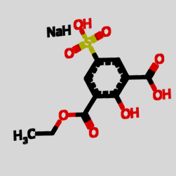 CCOC(=O)c1cc(S(=O)(=O)O)cc(C(=O)O)c1O.[NaH]